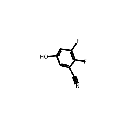 N#Cc1cc(O)cc(F)c1F